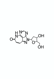 O=C1C=Cc2nn(C3CC(O)C(CO)O3)c3ncnc(c23)N1